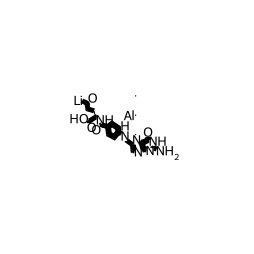 [Al].[Li][C](=O)CC[C@H](NC(=O)c1ccc(NCc2cnc3nc(N)[nH]c(=O)c3n2)cc1)C(=O)O